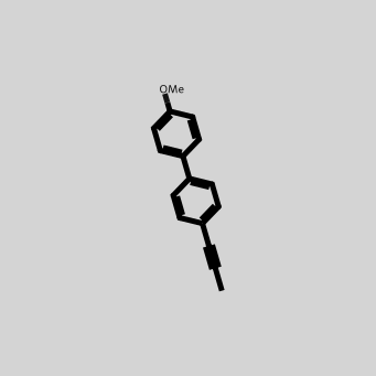 CC#Cc1ccc(-c2ccc(OC)cc2)cc1